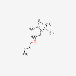 CCCCO[SiH2]C=C(C(C)C)C(C)C